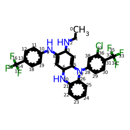 CCNC1C=C2C(C=C1Nc1ccc(C(F)(F)F)cc1)Nc1ccccc1N2c1ccc(C(F)(F)F)c(Cl)c1